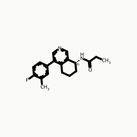 CCC(=O)N[C@@H]1CCCc2c(-c3ccc(F)c(C)c3)cncc21